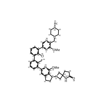 COc1nc(-c2cccc(-c3cccc(-c4cc5c(c(OC)n4)[C@@H](N4CC6(CCC(=O)N6)C4)CC5)c3F)c2Cl)cnc1CN1CCN(C(C)=O)CC1